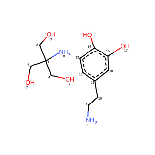 NC(CO)(CO)CO.NCCc1ccc(O)c(O)c1